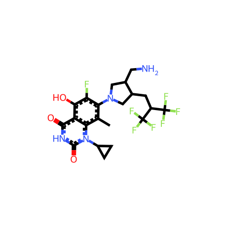 Cc1c(N2CC(CN)C(CC(C(F)(F)F)C(F)(F)F)C2)c(F)c(O)c2c(=O)[nH]c(=O)n(C3CC3)c12